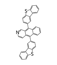 c1ccc2c(c1)sc1ccc(-c3c4ccccc4c(-c4ccc5sc6ccccc6c5c4)c4cnccc34)cc12